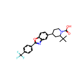 CC(C)(C)C1CC(c2ccc3oc(-c4ccc(C(F)(F)F)cc4)nc3c2)CCN1C(=O)O